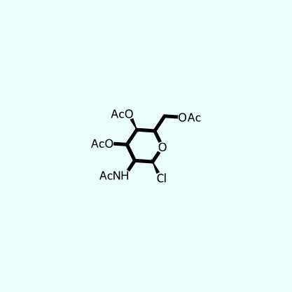 CC(=O)NC1C(OC(C)=O)[C@@H](OC(C)=O)C(COC(C)=O)O[C@H]1Cl